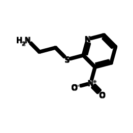 NCCSc1ncccc1[N+](=O)[O-]